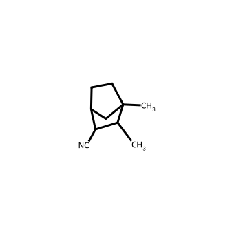 CC1C(C#N)C2CCC1(C)C2